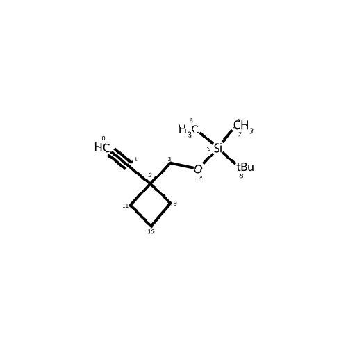 C#CC1(CO[Si](C)(C)C(C)(C)C)CCC1